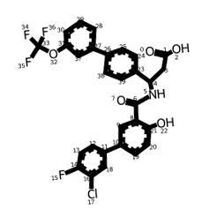 O=C(O)CC(NC(=O)c1cc(-c2ccc(F)c(Cl)c2)ccc1O)c1ccc(-c2cccc(OC(F)(F)F)c2)cc1